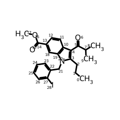 CCCc1c(C(=O)C(C)C)c2ccc(C(=O)OC)cc2n1Cc1ccccc1I